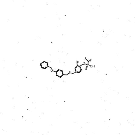 O=P(O)(Oc1ccc(CSCc2ccc(OCc3ccccc3)cc2)cc1Br)C(F)F